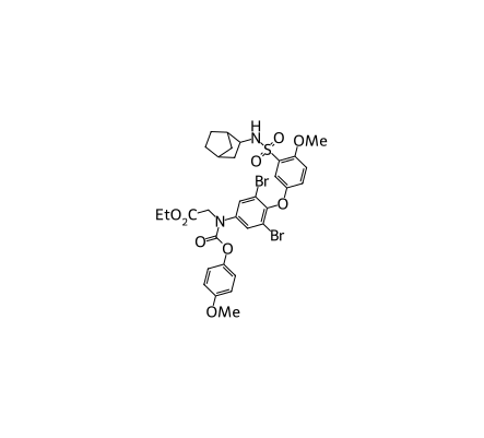 CCOC(=O)CN(C(=O)Oc1ccc(OC)cc1)c1cc(Br)c(Oc2ccc(OC)c(S(=O)(=O)NC3CC4CCC3C4)c2)c(Br)c1